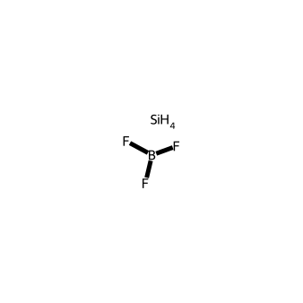 FB(F)F.[SiH4]